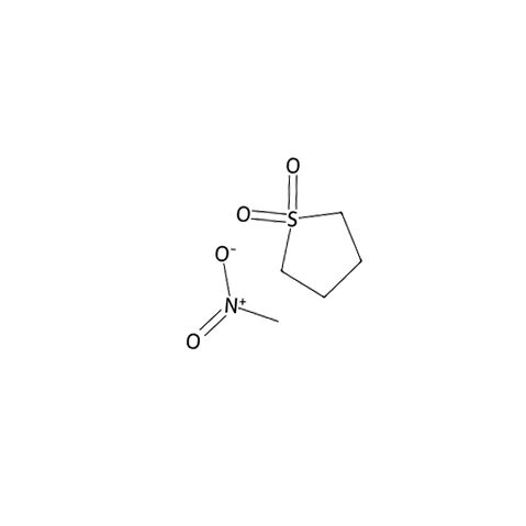 C[N+](=O)[O-].O=S1(=O)CCCC1